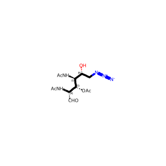 CC(=O)N[C@H]([C@H](OC(C)=O)[C@H](C=O)NC(C)=O)[C@H](O)CN=[N+]=[N-]